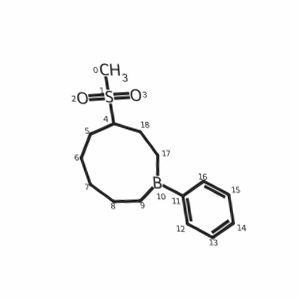 CS(=O)(=O)C1CCCCCB(c2ccccc2)CC1